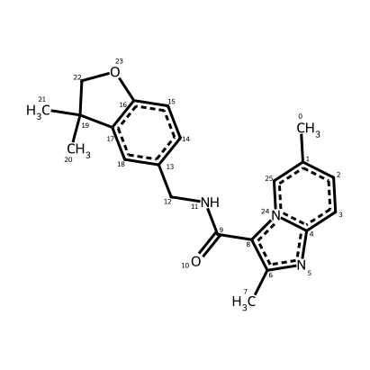 Cc1ccc2nc(C)c(C(=O)NCc3ccc4c(c3)C(C)(C)CO4)n2c1